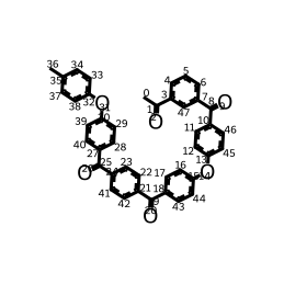 CC(=O)c1cccc(C(=O)c2ccc(Oc3ccc(C(=O)c4ccc(C(=O)c5ccc(Oc6ccc(C)cc6)cc5)cc4)cc3)cc2)c1